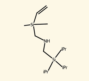 C=C[Si](C)(C)CNC[Si](C(C)C)(C(C)C)C(C)C